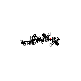 CN(CCN(C)C(=O)Oc1cc2c(c3ccccc13)[C@H](CCl)CN2C(=O)C12CC(C(=O)N3C[C@@H](CCl)c4c3cc(OP(O)O)c3ccccc43)(C1)C2)C(=O)OCc1ccccc1SSC[C@H](NC(=O)CCCCCN1C(=O)C=CC1=O)C(=O)O